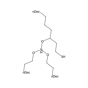 CCCCCCCCCCCCCC(CCS)O[SiH](OCCCCCCCCCCCC)OCCCCCCCCCCCC